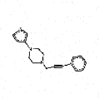 C(#Cc1ccccc1)CN1CCN(c2ccsc2)CC1